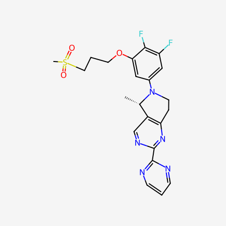 C[C@H]1c2cnc(-c3ncccn3)nc2CCN1c1cc(F)c(F)c(OCCCS(C)(=O)=O)c1